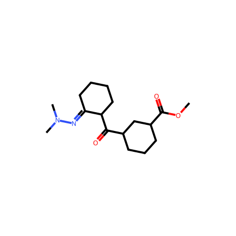 COC(=O)C1CCCC(C(=O)C2CCCCC2=NN(C)C)C1